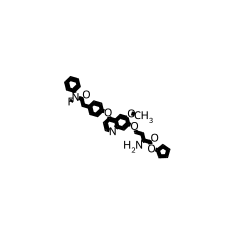 COc1cc2c(Oc3ccc(CC(=O)N(F)c4ccccc4)cc3)ccnc2cc1OCCC(N)C(=O)OC1CCCC1